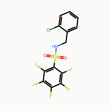 O=S(=O)(NCc1ccccc1Cl)c1c(F)c(F)c(F)c(F)c1F